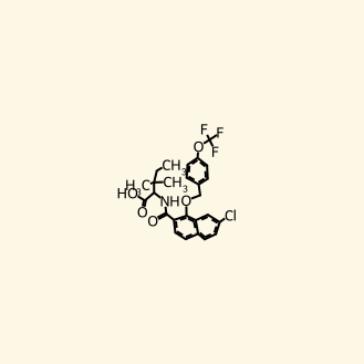 CCC(C)(C)C(NC(=O)c1ccc2ccc(Cl)cc2c1OCc1ccc(OC(F)(F)F)cc1)C(=O)O